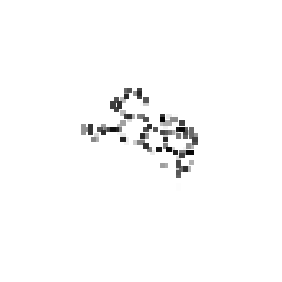 COc1cc2c(cc1N)CN(C(=O)C(F)(F)F)C2(C)C